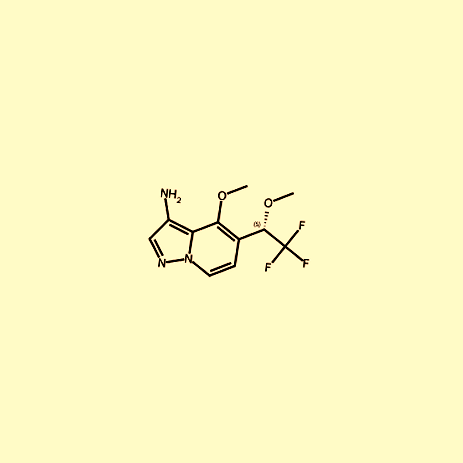 COc1c([C@H](OC)C(F)(F)F)ccn2ncc(N)c12